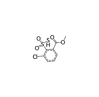 COC(=O)c1cccc(Cl)c1S(=O)(=O)S